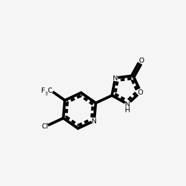 O=c1nc(-c2cc(C(F)(F)F)c(Cl)cn2)[nH]o1